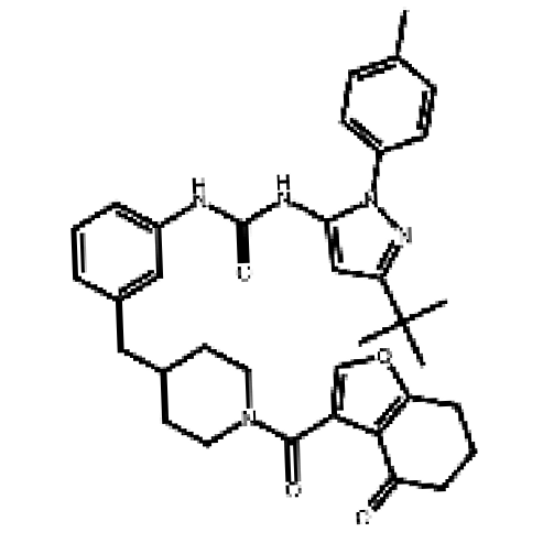 Cc1ccc(-n2nc(C(C)(C)C)cc2NC(=O)Nc2cccc(CC3CCN(C(=O)c4coc5c4C(=O)CCC5)CC3)c2)cc1